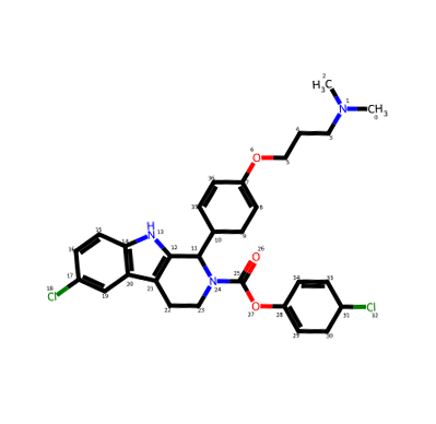 CN(C)CCCOC1=CCC(C2c3[nH]c4ccc(Cl)cc4c3CCN2C(=O)OC2=CCC(Cl)C=C2)C=C1